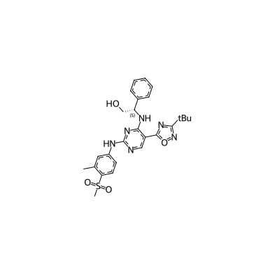 Cc1cc(Nc2ncc(-c3nc(C(C)(C)C)no3)c(N[C@H](CO)c3ccccc3)n2)ccc1S(C)(=O)=O